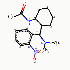 CC(=O)NC1CCCCC1C(c1ccccc1[N+](=O)[O-])N(C)C